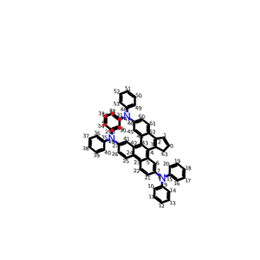 C1=Cc2c(c3c4cc(N(c5ccccc5)c5ccccc5)ccc4c4ccc(N(c5ccccc5)c5ccccc5)cc4c3c3cc(N(c4ccccc4)c4ccccc4)ccc23)C1